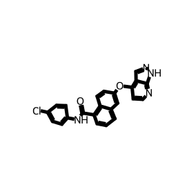 O=C(Nc1ccc(Cl)cc1)c1cccc2cc(Oc3ccnc4[nH]ncc34)ccc12